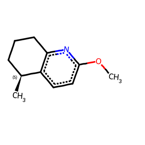 COc1ccc2c(n1)CCC[C@@H]2C